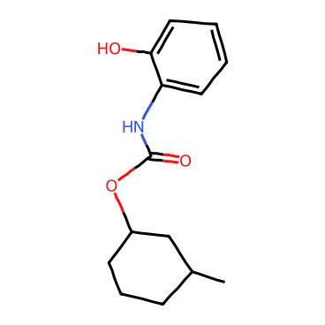 CC1CCCC(OC(=O)Nc2ccccc2O)C1